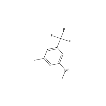 CBc1cc(C)cc(C(F)(F)F)c1